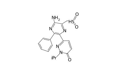 CC(C)n1nc(-c2nc(C[SH](=O)=O)c(N)nc2-c2ccccc2)ccc1=O